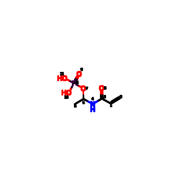 C=CC(=O)NC(C)OP(=O)(O)O